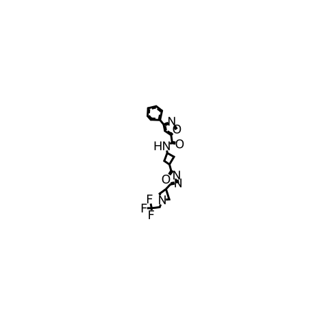 O=C(NC1CC(c2nnc(C3CN(CC(F)(F)F)C3)o2)C1)c1cc(-c2ccccc2)no1